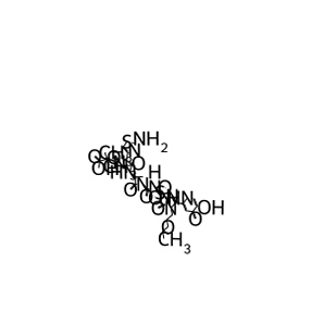 CCOCCn1c(-c2cc(=O)c(O)c[nH]2)nn(S(=O)(=O)NC(=O)N2C[C@H](NC(=O)C(=NOC(C)(C)C(=O)O)c3csc(N)n3)C2=O)c1=O